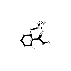 C[C@@H]1CCC[C@H](CNC(=O)O)N1C(=O)CBr